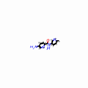 Cc1ccc(NC(=O)c2ccc(N)cn2)cn1